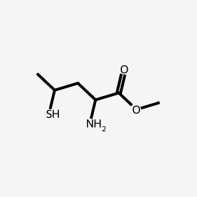 COC(=O)C(N)CC(C)S